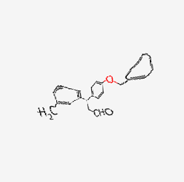 [CH2]c1cccc(C(CC=O)c2ccc(OCc3ccccc3)cc2)c1